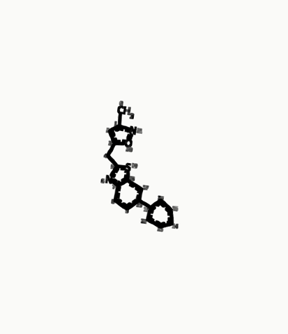 Cc1cc(Cc2nc3ccc(-c4ccccc4)cc3s2)on1